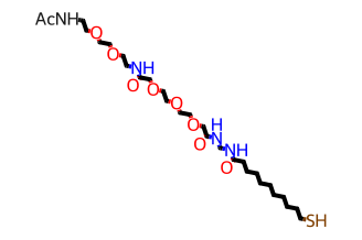 CC(=O)NCCOCCOCCNC(=O)COCCOCCOCC(=O)NCNC(=O)CCCCCCCCCCS